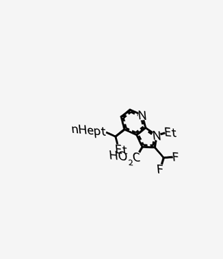 CCCCCCCC(CC)c1ccnc2c1c(C(=O)O)c(C(F)F)n2CC